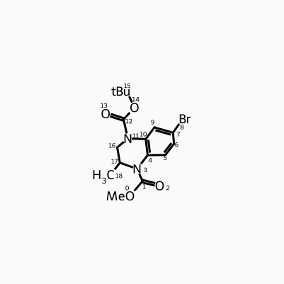 COC(=O)N1c2ccc(Br)cc2N(C(=O)OC(C)(C)C)CC1C